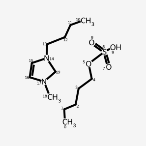 CCCCCOS(=O)(=O)O.CCCCN1C=CN(C)C1